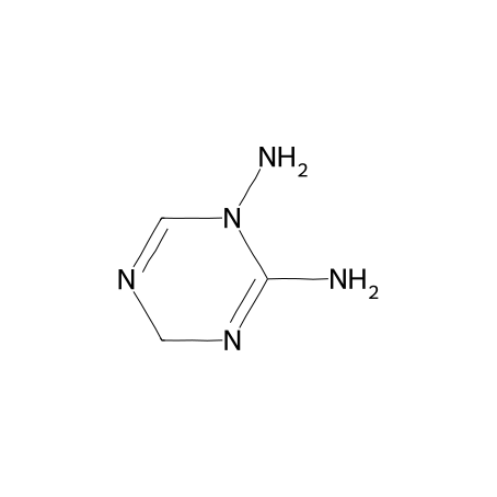 NC1=NCN=CN1N